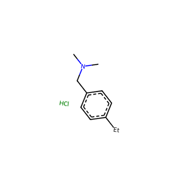 CCc1ccc(CN(C)C)cc1.Cl